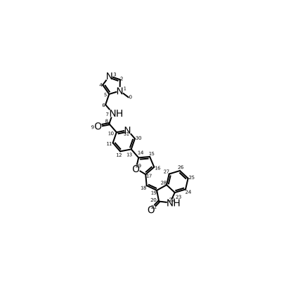 Cn1cncc1CNC(=O)c1ccc(-c2ccc(/C=C3/C(=O)Nc4ccccc43)o2)cn1